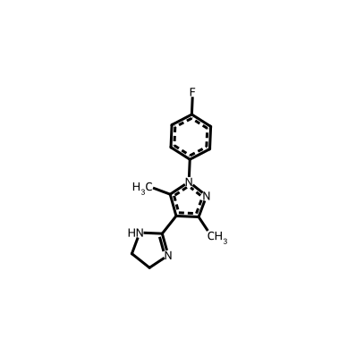 Cc1nn(-c2ccc(F)cc2)c(C)c1C1=NCCN1